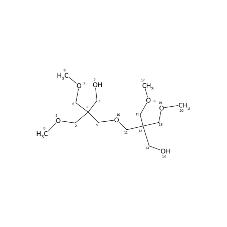 COCC(CO)(COC)COCC(CO)(COC)COC